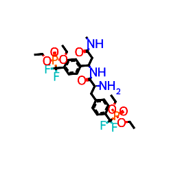 CCOP(=O)(OCC)C(F)(F)c1ccc(C[C@H](N)C(=O)NC(CC(=O)NC)c2ccc(C(F)(F)P(=O)(OCC)OCC)cc2)cc1